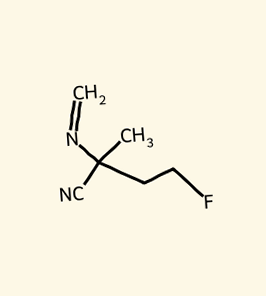 C=NC(C)(C#N)CCF